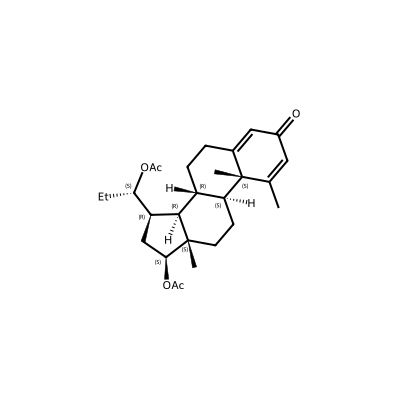 CC[C@H](OC(C)=O)[C@@H]1C[C@H](OC(C)=O)[C@@]2(C)CC[C@H]3[C@@H](CCC4=CC(=O)C=C(C)[C@@]43C)[C@H]12